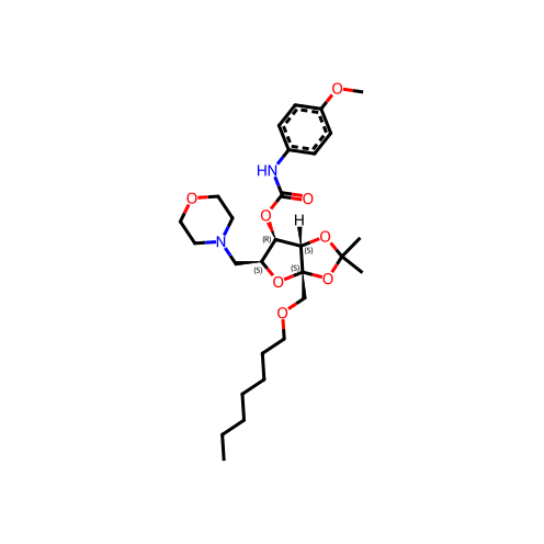 CCCCCCCOC[C@@]12O[C@@H](CN3CCOCC3)[C@@H](OC(=O)Nc3ccc(OC)cc3)[C@@H]1OC(C)(C)O2